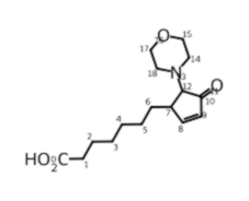 O=C(O)CCCCCCC1C=CC(=O)C1N1CCOCC1